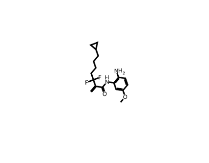 C=C(C(=O)Nc1cc(OC)ccc1N)C(F)(F)CCCCC1CC1